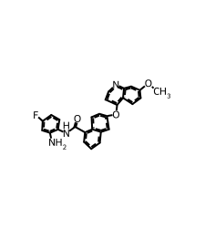 COc1ccc2c(Oc3ccc4c(C(=O)Nc5ccc(F)cc5N)cccc4c3)ccnc2c1